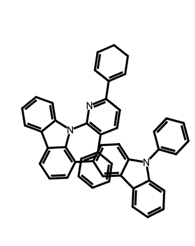 C1=CC(c2ccc(-c3ccccc3)c(-n3c4ccccc4c4cccc(-c5ccc6c(c5)c5ccccc5n6-c5ccccc5)c43)n2)=CCC1